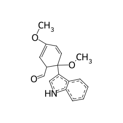 COC1=CC(C=O)C(OC)(c2c[nH]c3ccccc23)C=C1